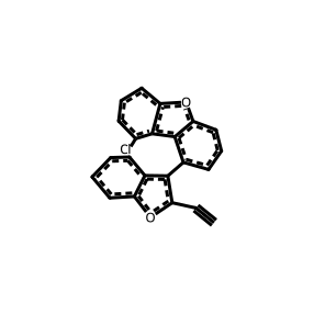 C#Cc1oc2ccccc2c1-c1cccc2oc3cccc(Cl)c3c12